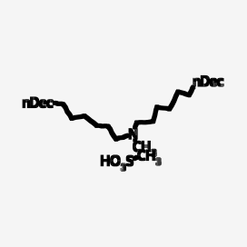 CCCCCCCCCCCCCCCCN(C)CCCCCCCCCCCCCCCC.CS(=O)(=O)O